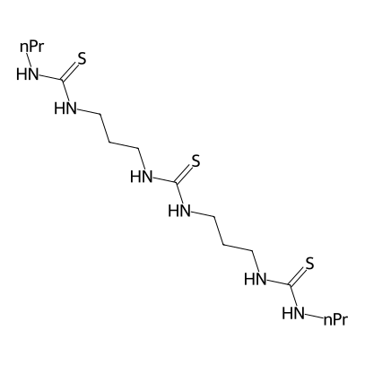 CCCNC(=S)NCCCNC(=S)NCCCNC(=S)NCCC